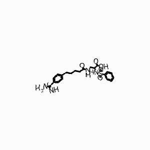 N=C(N)c1ccc(CCCCC(=O)NCC(NS(=O)(=O)c2ccccc2)C(=O)O)cc1